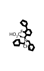 C[C@H](c1ccccc1)N(Cc1ccccc1)[C@@H](CC(=O)O)c1cccc(-c2ccccc2)c1F